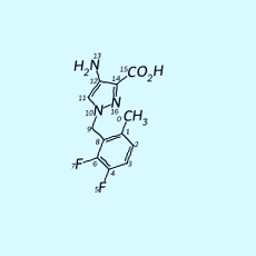 Cc1ccc(F)c(F)c1Cn1cc(N)c(C(=O)O)n1